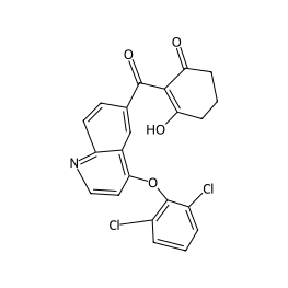 O=C1CCCC(O)=C1C(=O)c1ccc2nccc(Oc3c(Cl)cccc3Cl)c2c1